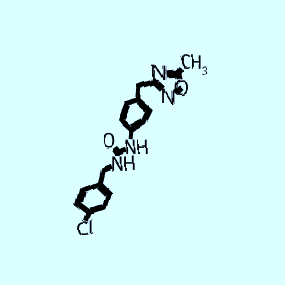 Cc1nc(Cc2ccc(NC(=O)NCc3ccc(Cl)cc3)cc2)no1